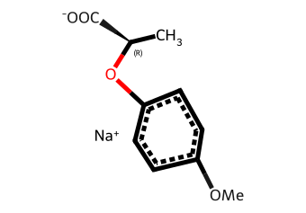 COc1ccc(O[C@H](C)C(=O)[O-])cc1.[Na+]